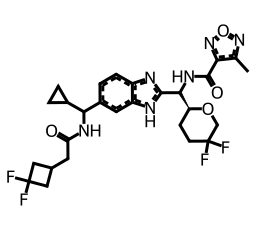 Cc1nonc1C(=O)NC(c1nc2ccc(C(NC(=O)CC3CC(F)(F)C3)C3CC3)cc2[nH]1)[C@@H]1CCC(F)(F)CO1